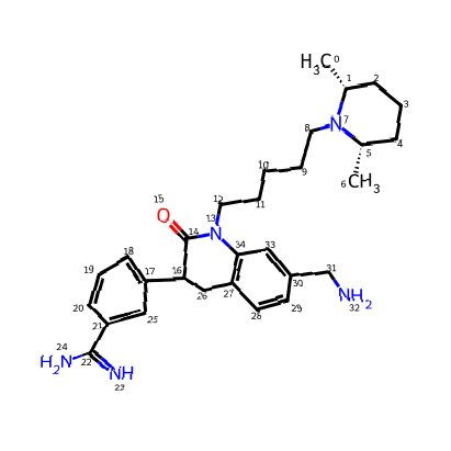 C[C@@H]1CCC[C@H](C)N1CCCCCN1C(=O)C(c2cccc(C(=N)N)c2)Cc2ccc(CN)cc21